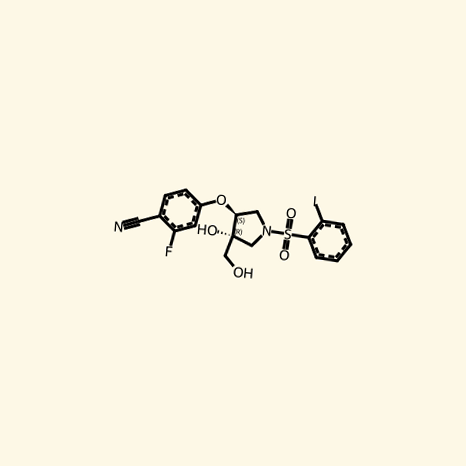 N#Cc1ccc(O[C@H]2CN(S(=O)(=O)c3ccccc3I)C[C@@]2(O)CO)cc1F